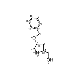 OC[C@@H]1C[C@@H](OCc2ccccc2)CN1